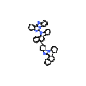 c1ccc2c(c1)ccc1c3ccccc3n3c4cc(-c5cc6c7ccccc7n(-c7nc8ccccc8c8nc9ccccc9n78)c6c6ccccc56)ccc4nc3c21